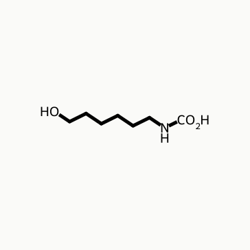 O=C(O)NCCCCCCO